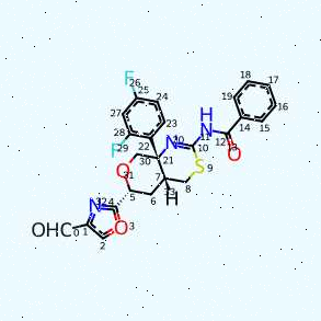 O=Cc1coc([C@H]2C[C@H]3CSC(NC(=O)c4ccccc4)=N[C@@]3(c3ccc(F)cc3F)CO2)n1